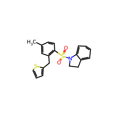 Cc1ccc(S(=O)(=O)N2CCc3ccccc32)c(Cc2cccs2)c1